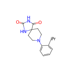 CC(C)c1ccccc1N1CCC2(CC1)NC(=O)NC2=O